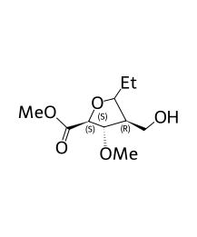 CCC1O[C@H](C(=O)OC)[C@@H](OC)[C@@H]1CO